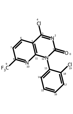 O=c1nc(Cl)c2ccc(C(F)(F)F)nc2n1-c1ccccc1Cl